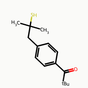 CC(C)(S)Cc1ccc(C(=O)C(C)(C)C)cc1